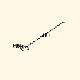 Br.Br.C1CCCC1.CCCCCCCCCCCCCCCCNCCCCCCCCCCCCCCCC.N